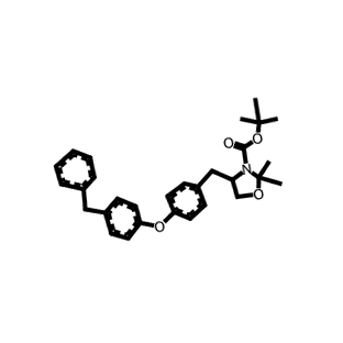 CC(C)(C)OC(=O)N1C(Cc2ccc(Oc3ccc(Cc4ccccc4)cc3)cc2)COC1(C)C